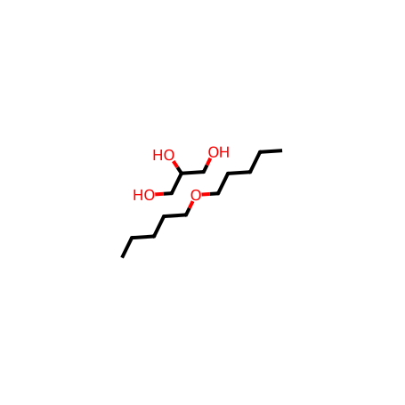 CCCCCOCCCCC.OCC(O)CO